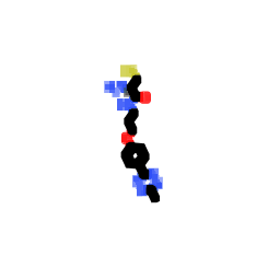 Cc1nnc(-c2ccc(OCCCNC(=O)[C@@H](N)CS)cc2)nn1